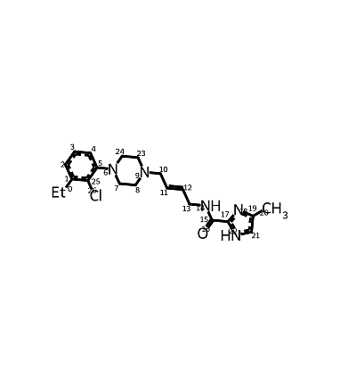 CCc1cccc(N2CCN(CC=CCNC(=O)c3nc(C)c[nH]3)CC2)c1Cl